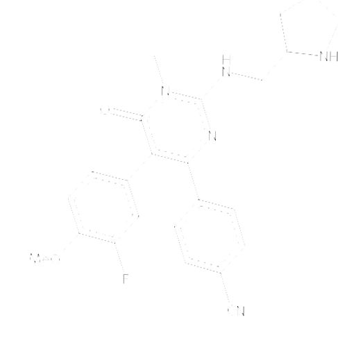 COc1ccc(-c2c(-c3ccc(C#N)cc3)nc(NCC3CCCN3)n(C)c2=O)cc1F